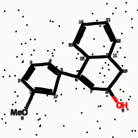 COc1cccc(C2=CC(O)CC3C=CC=CC23)c1